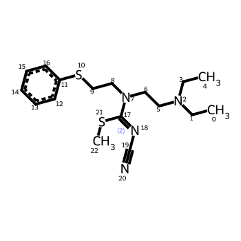 CCN(CC)CCN(CCSc1ccccc1)/C(=N/C#N)SC